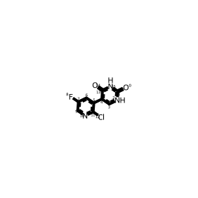 O=c1[nH]cc(-c2cc(F)cnc2Cl)c(=O)[nH]1